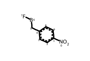 O=[N+]([O-])c1ccc(C[B]F)cc1